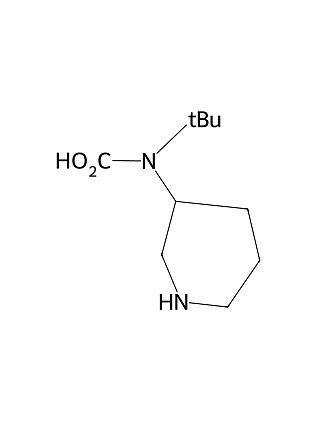 CC(C)(C)N(C(=O)O)C1CCCNC1